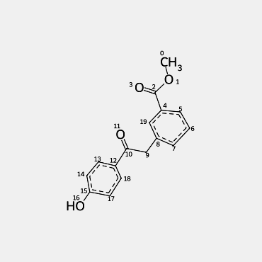 COC(=O)c1cccc(CC(=O)c2ccc(O)cc2)c1